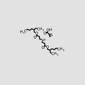 CCCCC(CC)COC(=O)C[CH2][Sn][CH2]CC(=O)OCC(CC)CCCC.O=C(O)C1CS1